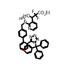 CCCN(Cc1ccc(-c2ccccc2-c2nnnn2C(c2ccccc2)(c2ccccc2)c2ccccc2)cc1)c1ncccc1C(O)C(F)(F)C(=O)OCC